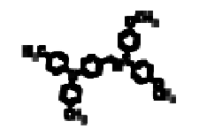 COc1ccc(N(/N=C/c2ccc(N(c3ccc(C)cc3)c3ccc(C)cc3)cc2)c2ccc(OC)cc2)cc1